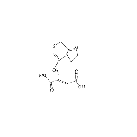 CC1=CSCC2=NCCN12.O=C(O)/C=C/C(=O)O